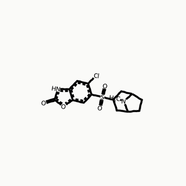 CN1C2CCC1CC(S(=O)(=O)c1cc3oc(=O)[nH]c3cc1Cl)C2